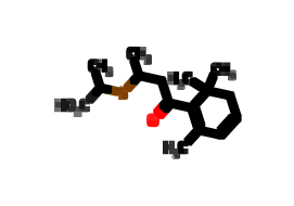 CC1=C(C(=O)CC(C)SC(C)C(=O)O)C(C)(C)CC=C1